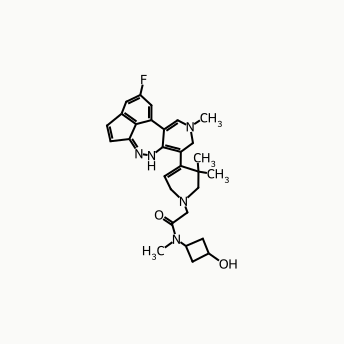 CN1C=C2C(=C(C3=CCN(CC(=O)N(C)C4CC(O)C4)CC3(C)C)C1)NN=C1C=Cc3cc(F)cc2c31